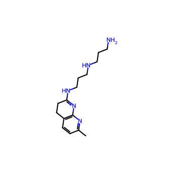 Cc1ccc2c(n1)N=C(NCCCNCCCN)CC2